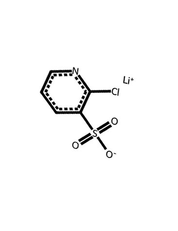 O=S(=O)([O-])c1cccnc1Cl.[Li+]